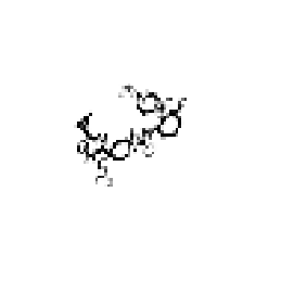 CC(C)N1CCN([C@H]2[C@H](NC(=O)N3CCC(C)(c4noc(C5CC5)n4)CC3)CCCC2(F)F)CC1